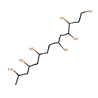 CC(S)CC(S)CC(S)CCC(S)CC(S)C(S)CCS